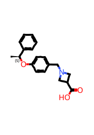 C[C@H](Oc1ccc(CN2CC(C(=O)O)C2)cc1)c1ccccc1